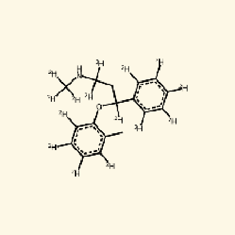 [2H]c1c([2H])c([2H])c(C([2H])(CC([2H])([2H])NC([2H])([2H])[2H])Oc2c([2H])c([2H])c([2H])c([2H])c2C)c([2H])c1[2H]